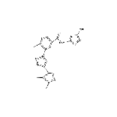 Cc1ncc(C(=O)Nc2cc(C(C)(C)C)no2)cc1-n1cc(-c2cnn(C)c2C)nn1